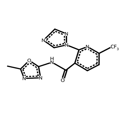 Cc1nnc(NC(=O)c2ccc(C(F)(F)F)nc2-n2cncn2)o1